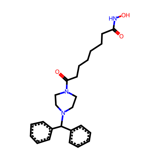 O=C(CCCCCCC(=O)N1CCN(C(c2ccccc2)c2ccccc2)CC1)NO